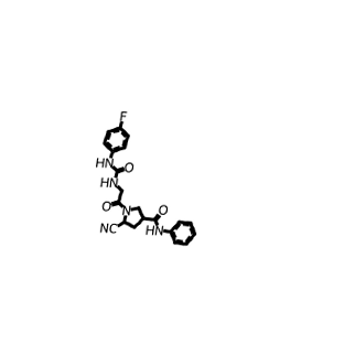 N#CC1CC(C(=O)Nc2ccccc2)CN1C(=O)CNC(=O)Nc1ccc(F)cc1